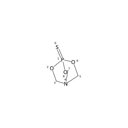 S=P12OCN(CO1)CO2